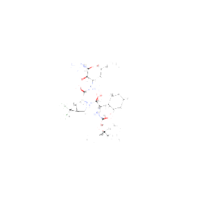 CCCC(NC(=O)[C@@H]1C2C(CN1C(=O)[C@@H](NC(=O)OC(C)(C)C)C1CCCCC1)C2(Cl)Cl)C(=O)C(N)=O